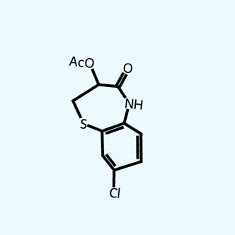 CC(=O)OC1CSc2cc(Cl)ccc2NC1=O